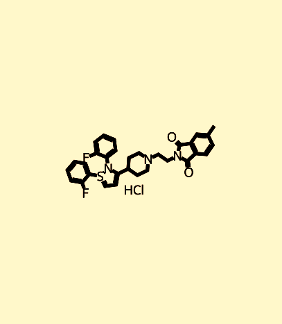 Cc1ccc2c(c1)C(=O)N(CCN1CCC(C3=CC=S(c4ccccc4F)N3c3ccccc3F)CC1)C2=O.Cl